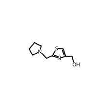 OCc1csc(CN2CCCC2)n1